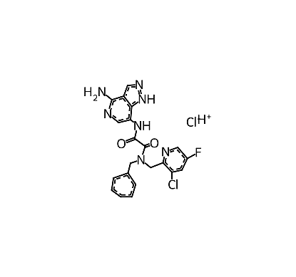 Nc1ncc(NC(=O)C(=O)N(Cc2ccccc2)Cc2ncc(F)cc2Cl)c2[nH]ncc12.[Cl-].[H+]